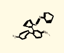 Nc1ccc(-c2ccc(N)cc2-c2ccccc2N=Nc2ccccc2)cc1